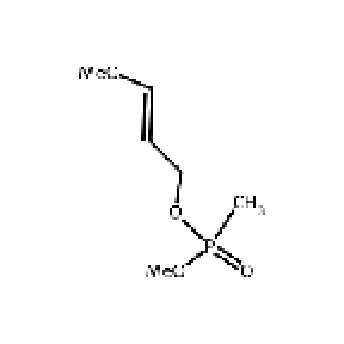 COC=CCOP(C)(=O)OC